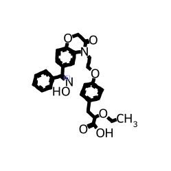 CCOC(Cc1ccc(OCCN2C(=O)COc3ccc(/C(=N/O)c4ccccc4)cc32)cc1)C(=O)O